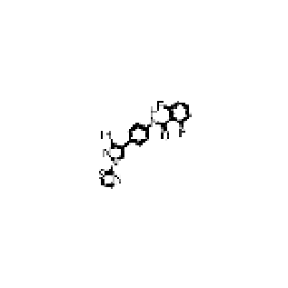 CCc1nn(-c2nccs2)cc1-c1ccc(NC(=O)c2c(F)cccc2F)cc1